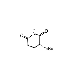 CCCC[C@@H]1CCC(=O)NC1=O